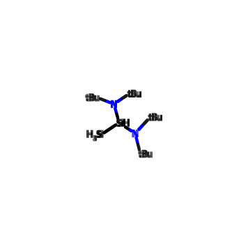 CC(C)(C)N([SiH]([SiH3])N(C(C)(C)C)C(C)(C)C)C(C)(C)C